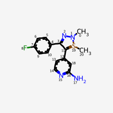 CN1N=C(c2ccc(F)cc2)C(c2ccnc(N)c2)=S1C